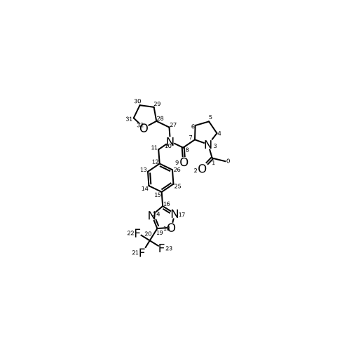 CC(=O)N1CCCC1C(=O)N(Cc1ccc(-c2noc(C(F)(F)F)n2)cc1)CC1CCCO1